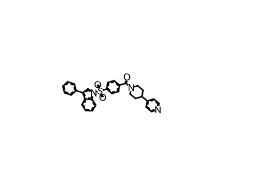 O=C(c1ccc(S(=O)(=O)n2cc(-c3ccccc3)c3ccccc32)cc1)N1CCC(c2ccncc2)CC1